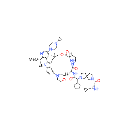 CCn1c(-c2cc(N3CCN(C4CC4)CC3)cnc2[C@H](C)OC)c2c3cc(ccc31)N1CCO[C@@H](C[C@H](NC(=O)C(C3CCCC3)N3CC[C@]4(CCN(C(=O)[C@@H]5NC5C5CC5)C4)C3)C(=O)N3CCC[C@H](N3)C(=O)OCC(C)(C)C2)C1